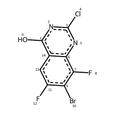 Oc1nc(Cl)nc2c(F)c(Br)c(F)cc12